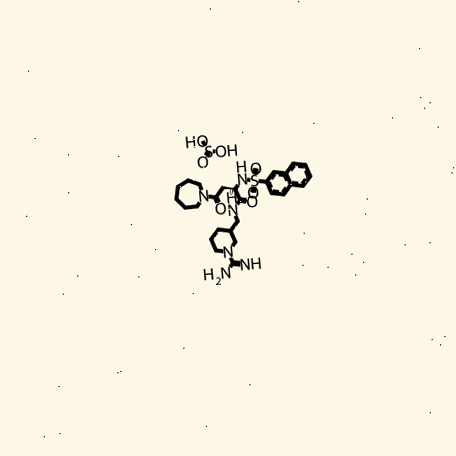 N=C(N)N1CCCC(CNC(=O)[C@@H](CC(=O)N2CCCCCC2)NS(=O)(=O)c2ccc3ccccc3c2)C1.O=S(O)O